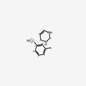 C1=CNCNC1.Cc1cccc(C(=O)O)c1